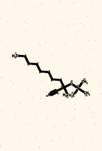 CCCCCCCCC(C)(C#N)O[Si](C)(C)C